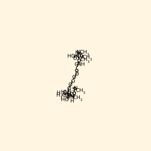 Cc1ncsc1-c1ccc(C(C)NC(=O)[C@@H]2C[C@@H](O)CN2C(=O)C(NC(=O)COCCOCCOCCOCCOc2ccc(CCC(=O)Nc3ccc(C4=N[C@@H](CC(=O)O)c5nnc(C)n5-c5sc(C)c(C)c54)cc3)cc2)C(C)(C)C)cc1